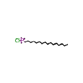 CCCCCCCCCCCCCCCCP(C)(C)(C)Cl